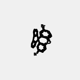 Brc1ccc2c(c1)C1(c3cc(Br)ccc3O2)c2ccccc2-c2ccccc21